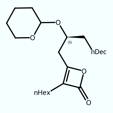 CCCCCCCCCCC[C@@H](CC1=C(CCCCCC)C(=O)O1)OC1CCCCO1